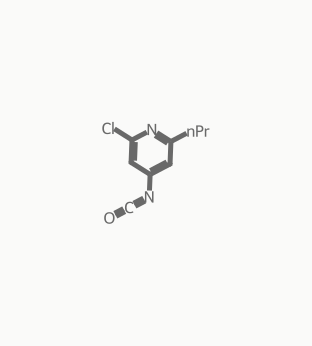 [CH2]CCc1cc(N=C=O)cc(Cl)n1